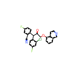 N#Cc1cc(F)ccc1C(C(=O)COc1cccc2cnccc12)c1ccc(F)cc1Cl